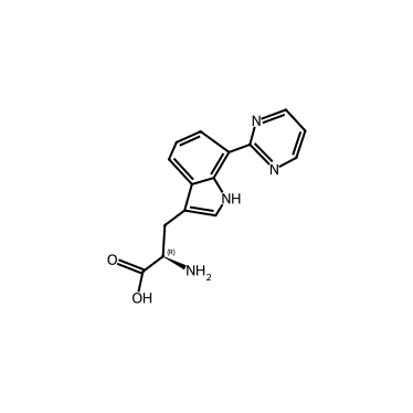 N[C@H](Cc1c[nH]c2c(-c3ncccn3)cccc12)C(=O)O